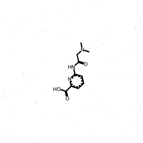 CN(C)CC(=O)Nc1cccc(C(=O)O)n1